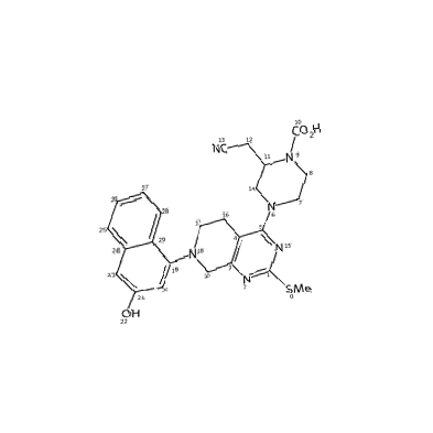 CSc1nc2c(c(N3CCN(C(=O)O)C(CC#N)C3)n1)CCN(c1cc(O)cc3ccccc13)C2